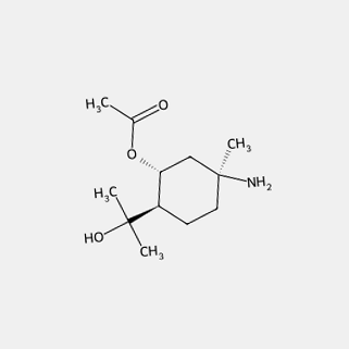 CC(=O)O[C@@H]1C[C@@](C)(N)CC[C@H]1C(C)(C)O